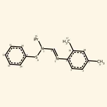 Cc1ccc(N=CN(Sc2ccccc2)C(C)C)c(C)c1